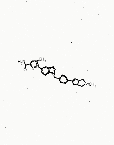 Cc1cc(C(N)=O)nn1-c1ccc2c(ccn2Cc2ccc(C3=CC4CN(C)CC4C3)cc2)c1